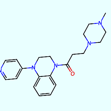 CN1CCN(CCC(=O)N2CCN(c3ccncc3)c3ccccc32)CC1